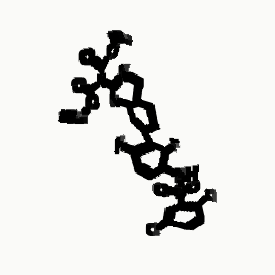 CC(C)(C)OC(=O)N(C(=O)OC(C)(C)C)c1ncc2ccc(-c3c(F)ccc(NS(=O)(=O)c4cc(Cl)ccc4Cl)c3F)cc2n1